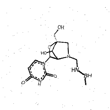 CBNCN1C[C@]2(CO)OC(n3ccc(=O)[nH]c3=O)C1C2O